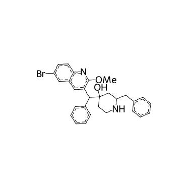 COc1nc2ccc(Br)cc2cc1C(c1ccccc1)C1(O)CCNC(Cc2ccccc2)C1